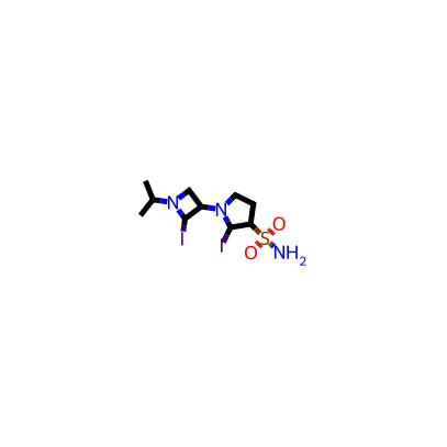 CC(C)N1CC(N2CCC(S(N)(=O)=O)C2I)C1I